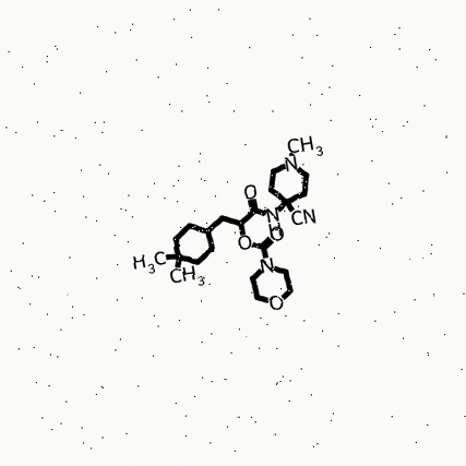 CN1CCC(C#N)(NC(=O)C(CC2CCC(C)(C)CC2)OC(=O)N2CCOCC2)CC1